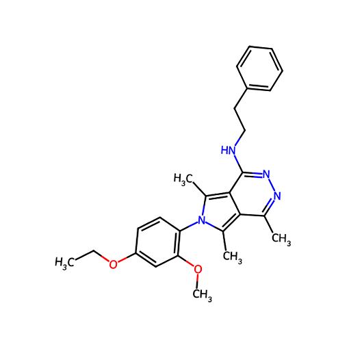 CCOc1ccc(-n2c(C)c3c(C)nnc(NCCc4ccccc4)c3c2C)c(OC)c1